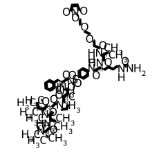 CC[C@H](C)[C@@H]([C@@H](CC(=O)N1CCC[C@H]1[C@H](OC)[C@@H](C)C(=O)N[C@@H](Cc1ccccc1)C(=O)NS(=O)(=O)c1ccc(NC(=O)[C@H](CCCCNC(N)=O)NC(=O)[C@@H](NC(=O)CCOCCOCCON2C(=O)C=CC2=O)C(C)C)cc1)OC)N(C)C(=O)[C@@H](NC(=O)[C@H](C(C)C)N(C)C)C(C)C